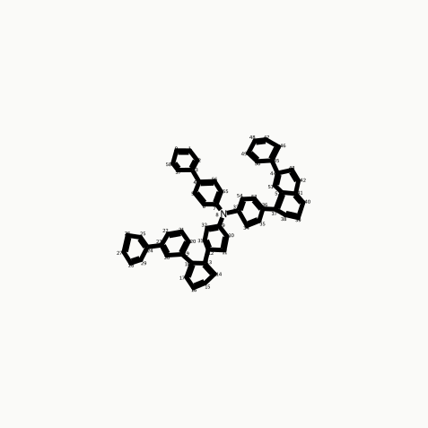 c1ccc(-c2ccc(N(c3ccc(-c4ccccc4-c4cccc(-c5ccccc5)c4)cc3)c3ccc(-c4cccc5ccc(-c6ccccc6)cc45)cc3)cc2)cc1